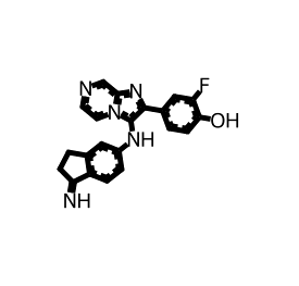 N=C1CCc2cc(Nc3c(-c4ccc(O)c(F)c4)nc4cnccn34)ccc21